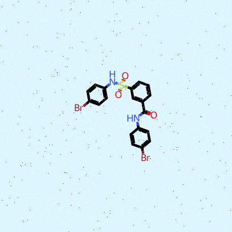 O=C(Nc1ccc(Br)cc1)c1cccc(S(=O)(=O)Nc2ccc(Br)cc2)c1